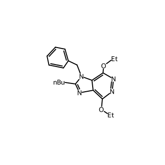 CCCCc1nc2c(OCC)nnc(OCC)c2n1Cc1ccccc1